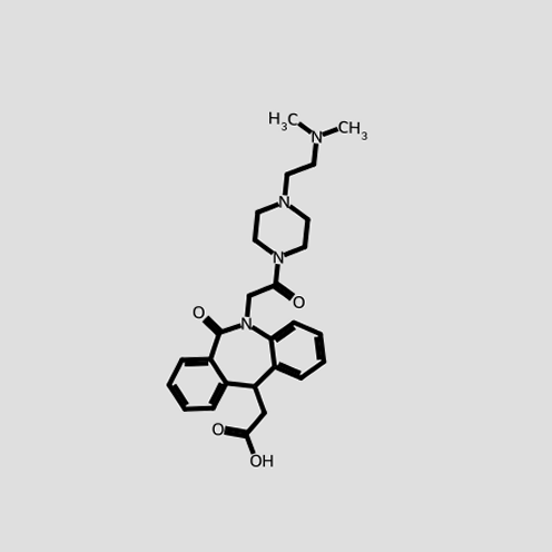 CN(C)CCN1CCN(C(=O)CN2C(=O)c3ccccc3C(CC(=O)O)c3ccccc32)CC1